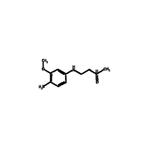 COc1cc(NCC[PH](C)=O)ccc1N